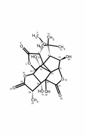 CO[C@H]1C(=O)OCC12[C@H](C(C)(C)C)[C@@H](O)C1OC(=O)C3(O)C12[C@@H](O)C1OC(=O)[C@@H](C)[C@@]13O